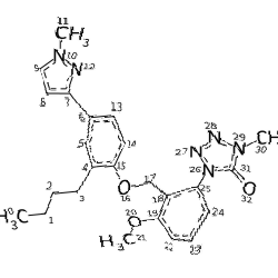 CCCCc1cc(-c2ccn(C)n2)ccc1OCc1c(OC)cccc1-n1nnn(C)c1=O